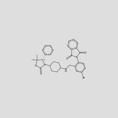 CC1(C)OC(=O)N(C2CCC(NCc3cc(Br)ccc3N3C(=O)c4ccccc4C3=O)CC2)[C@H]1c1ccccc1